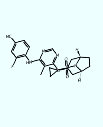 Cc1c(Nc2ccc(C#N)cc2F)ncnc1OC1C[C@@H]2CC[C@@H](C1)N2S(=O)(=O)C1CC1